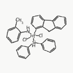 Cc1ccccc1[NH][Hf]([Cl])([Cl])([c]1cccc2c1Cc1ccccc1-2)[SiH](c1ccccc1)c1ccccc1